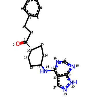 O=C(CCc1ccccc1)[C@H]1CC[C@H](Nc2ncnc3[nH]ncc23)CC1